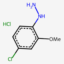 COc1cc(Cl)ccc1NN.Cl